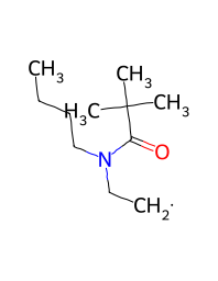 [CH2]CN(CCCC)C(=O)C(C)(C)C